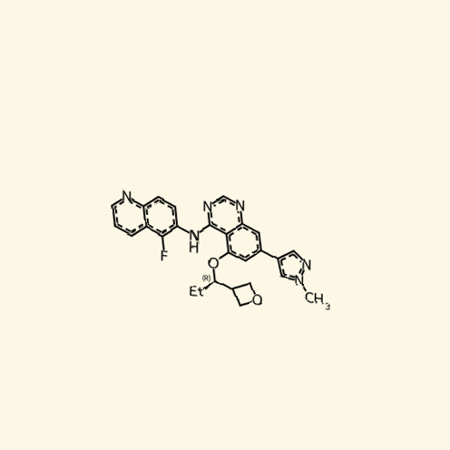 CC[C@@H](Oc1cc(-c2cnn(C)c2)cc2ncnc(Nc3ccc4ncccc4c3F)c12)C1COC1